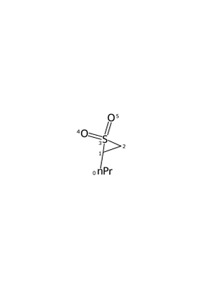 CCCC1CS1(=O)=O